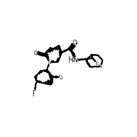 O=C(NC1CN2CCC1CC2)c1ccc(=O)n(-c2ccc(F)cc2Cl)c1